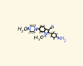 CCn1c(-c2ccc(N)cc2)c(C#N)c2ccc(N3CCN(C)CC3)cc21